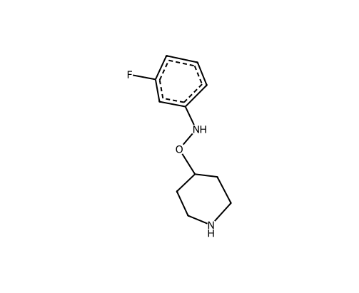 Fc1cccc(NOC2CCNCC2)c1